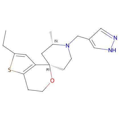 CCc1cc2c(s1)CCO[C@@]21CCN(Cc2cn[nH]c2)[C@@H](C)C1